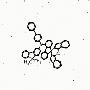 CC1(C)c2ccccc2-c2cc(N(c3ccc(-c4ccccc4)cc3)c3cccc4c3-c3ccccc3C43c4ccc5ccccc5c4Oc4c3ccc3ccccc43)ccc21